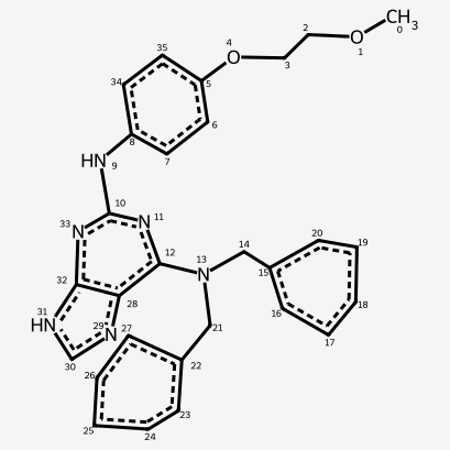 COCCOc1ccc(Nc2nc(N(Cc3ccccc3)Cc3ccccc3)c3nc[nH]c3n2)cc1